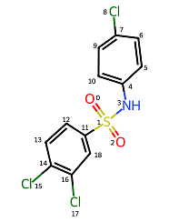 O=S(=O)(Nc1ccc(Cl)cc1)c1ccc(Cl)c(Cl)c1